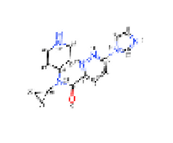 O=C(c1ccc(-n2ccnc2)nn1)N(C1CCNCC1)C1CC1